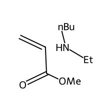 C=CC(=O)OC.[CH2]CNCCCC